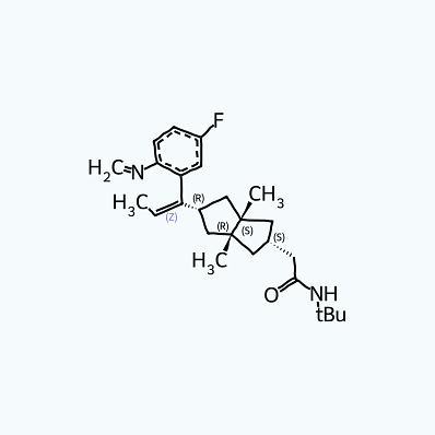 C=Nc1ccc(F)cc1/C(=C\C)[C@@H]1C[C@]2(C)C[C@H](CC(=O)NC(C)(C)C)C[C@]2(C)C1